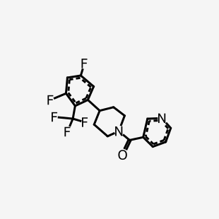 O=C(c1cccnc1)N1CCC(c2cc(F)cc(F)c2C(F)(F)F)CC1